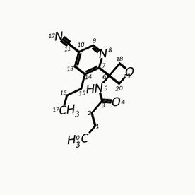 CCCC(=O)NC1(c2ncc(C#N)cc2CCC)COC1